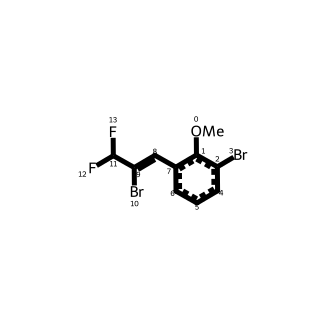 COc1c(Br)cccc1C=C(Br)C(F)F